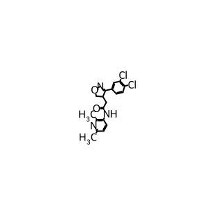 Cc1ccc(NC(=O)CC2CON=C2c2ccc(Cl)c(Cl)c2)c(C)n1